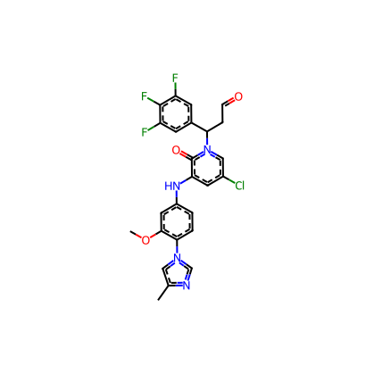 COc1cc(Nc2cc(Cl)cn(C(CC=O)c3cc(F)c(F)c(F)c3)c2=O)ccc1-n1cnc(C)c1